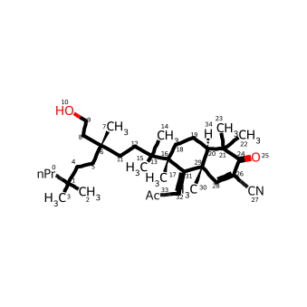 CCCC(C)(C)CC[C@](C)(CCO)CCC(C)(C)[C@]1(C)CC[C@H]2C(C)(C)C(=O)C(C#N)=C[C@]2(C)/C1=C/C(C)=O